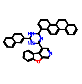 c1ccc2cc(C3NC(c4cncc5oc6ccccc6c45)=NC(c4cccc5c4ccc4c6ccccc6ccc54)N3)ccc2c1